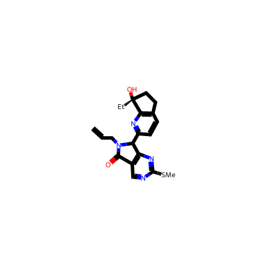 C=CCN1C(=O)c2cnc(SC)nc2C1c1ccc2c(n1)[C@@](O)(CC)CC2